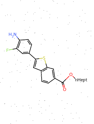 CCCCCCCOC(=O)c1ccc2cc(-c3ccc(N)c(F)c3)sc2c1